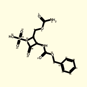 NC(=O)OCC1C(NC(=O)OCc2ccccc2)C(=O)N1S(=O)(=O)O